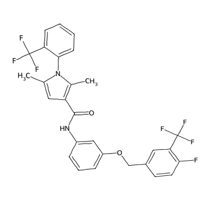 Cc1cc(C(=O)Nc2cccc(OCc3ccc(F)c(C(F)(F)F)c3)c2)c(C)n1-c1ccccc1C(F)(F)F